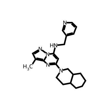 Cc1cnn2c(NCc3cccnc3)cc(N3CCC4CCCCC4C3)nc12